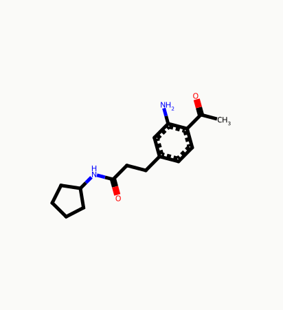 CC(=O)c1ccc(CCC(=O)NC2CCCC2)cc1N